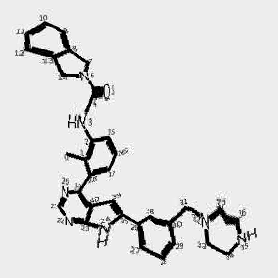 Cc1c(NC(=O)N2Cc3ccccc3C2)cccc1-c1ncnc2[nH]c(-c3cccc(CN4CCNCC4)c3)cc12